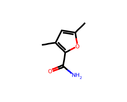 Cc1cc(C)c(C(N)=O)o1